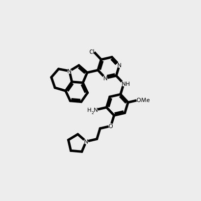 COc1cc(OCCN2CCCC2)c(N)cc1Nc1ncc(Cl)c(-c2cn3c4c(cccc24)CCC3)n1